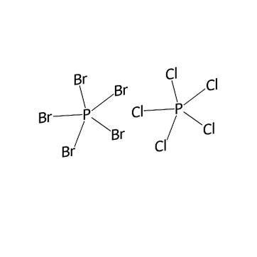 BrP(Br)(Br)(Br)Br.ClP(Cl)(Cl)(Cl)Cl